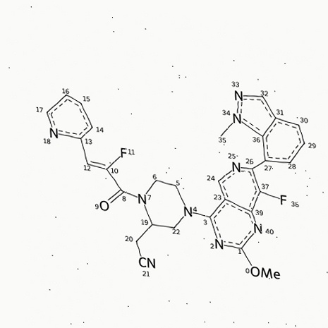 COc1nc(N2CCN(C(=O)/C(F)=C/c3ccccn3)C(CC#N)C2)c2cnc(-c3cccc4cnn(C)c34)c(F)c2n1